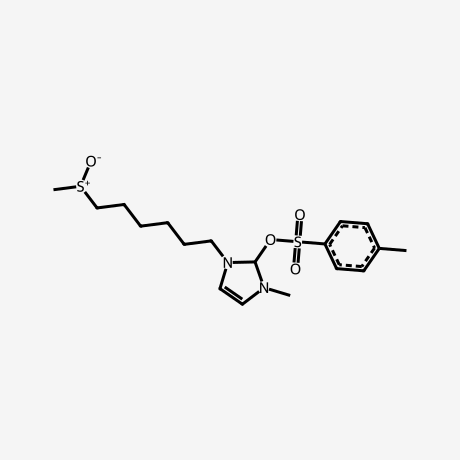 Cc1ccc(S(=O)(=O)OC2N(C)C=CN2CCCCCC[S+](C)[O-])cc1